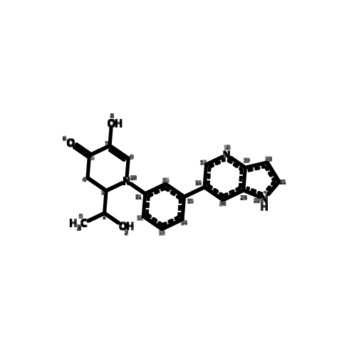 CC(O)C1CC(=O)C(O)=CN1c1cccc(-c2cnc3cc[nH]c3c2)c1